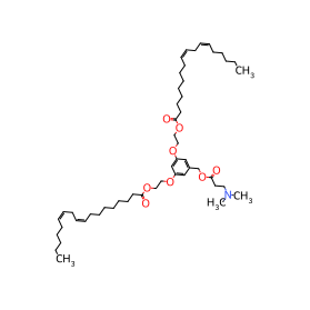 CCCCC/C=C\C/C=C\CCCCCCCC(=O)OCCOc1cc(COC(=O)CCN(C)C)cc(OCCOC(=O)CCCCCCC/C=C\C/C=C\CCCCC)c1